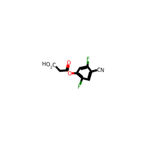 N#Cc1cc(F)c(OC(=O)CC(=O)O)cc1F